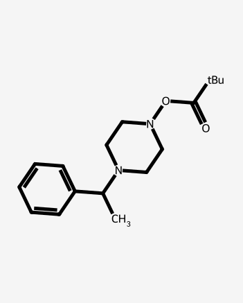 CC(c1ccccc1)N1CCN(OC(=O)C(C)(C)C)CC1